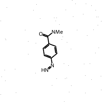 [CH2]NC(=O)c1ccc(N=N)cc1